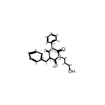 O=C1C(Cc2ccccc2)C(=O)N(c2ccccc2)C(=O)N1CCCO